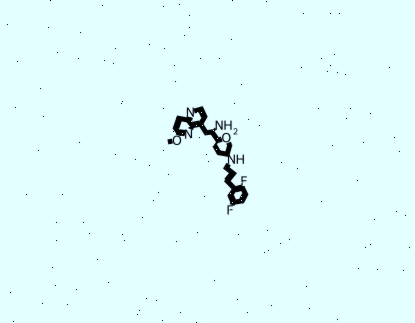 COc1ccc2nccc(C[C@@H](N)[C@@H]3CC[C@@H](NC/C=C/c4cc(F)ccc4F)CO3)c2n1